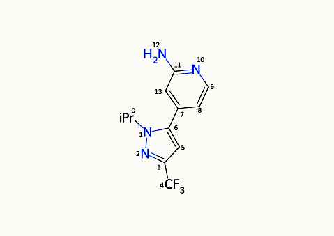 CC(C)n1nc(C(F)(F)F)cc1-c1ccnc(N)c1